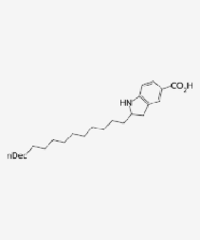 CCCCCCCCCCCCCCCCCCCCC1Cc2cc(C(=O)O)ccc2N1